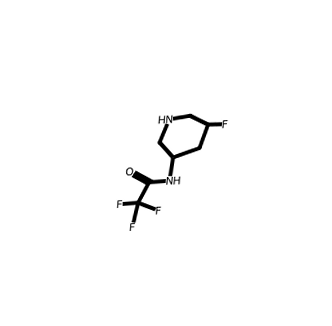 O=C(NC1CNCC(F)C1)C(F)(F)F